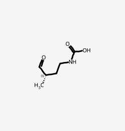 C[C@H](C=O)CCNC(=O)O